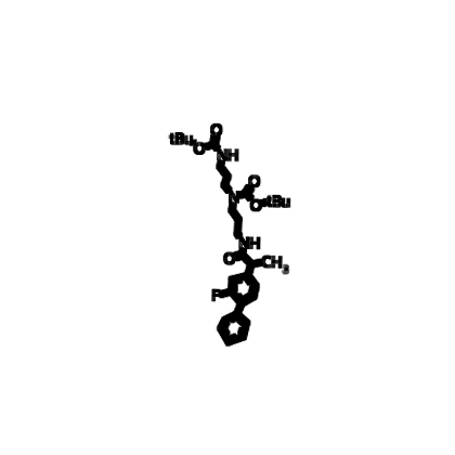 CC(C(=O)NCCCN(CCCNC(=O)OC(C)(C)C)C(=O)OC(C)(C)C)c1ccc(-c2ccccc2)c(F)c1